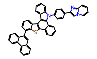 c1ccc2c(c1)cc(-c1cccc3c1sc1c4ccccc4c4c(c5ccccc5n4-c4ccc(-c5cn6ccccc6n5)cc4)c31)c1ccccc12